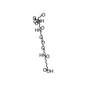 O=[C]CCC(NC(=O)CCC(=O)NCCCOCCOCCOCCCNC(=O)CCCCCCC(=O)O)C(=O)O